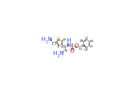 NCc1cc(C(CN)NC(=O)OCc2ccccc2)cs1